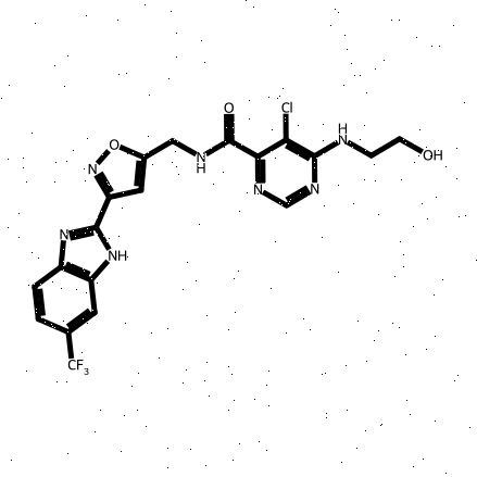 O=C(NCc1cc(-c2nc3ccc(C(F)(F)F)cc3[nH]2)no1)c1ncnc(NCCO)c1Cl